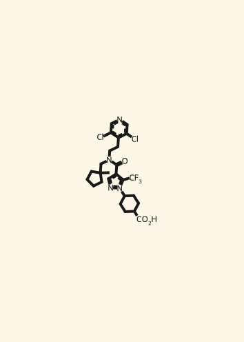 CC1(CN(CCc2c(Cl)cncc2Cl)C(=O)c2cnn(C3CCC(C(=O)O)CC3)c2C(F)(F)F)CCCC1